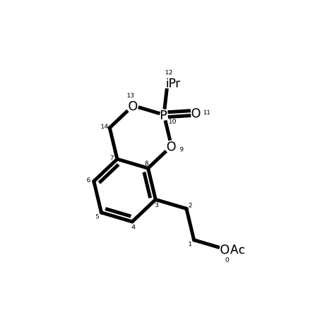 CC(=O)OCCc1cccc2c1OP(=O)(C(C)C)OC2